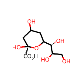 O=C(O)[C@@]1(O)CC(O)CC([C@H](O)[C@H](O)CO)O1